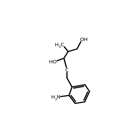 CC(CO)C(O)CCc1ccccc1N